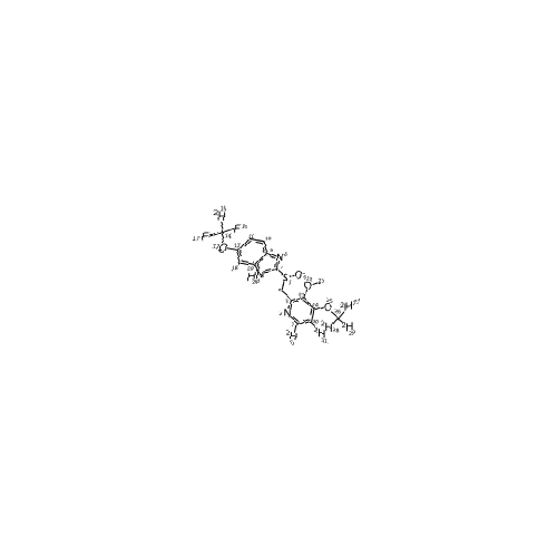 [2H]c1nc(C[S+]([O-])c2nc3ccc(OC([2H])(F)F)cc3[nH]2)c(OC)c(OC([2H])([2H])[2H])c1[2H]